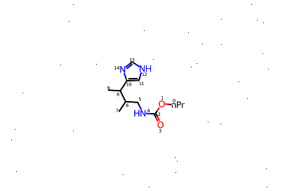 CCCOC(=O)NCC(C)C(C)c1c[nH]cn1